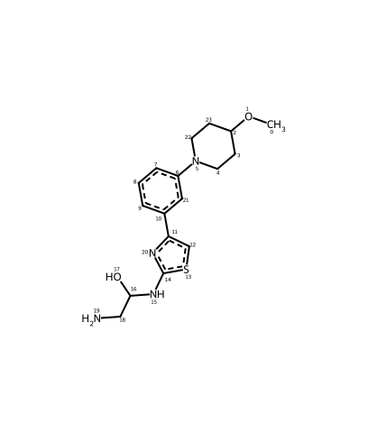 COC1CCN(c2cccc(-c3csc(NC(O)CN)n3)c2)CC1